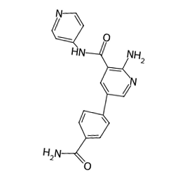 NC(=O)c1ccc(-c2cnc(N)c(C(=O)Nc3ccncc3)c2)cc1